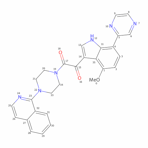 COc1ccc(-c2cnccn2)c2[nH]cc(C(=O)C(=O)N3CCN(c4nccc5ccccc45)CC3)c12